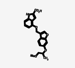 COCC(C)Oc1ccc2c(COc3cccc4[nH]c(C(=O)O)cc34)coc2c1